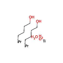 CC(C)CCCCO.CC(C)CCCCO.O.O.[Ti]